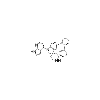 c1ccc(-c2ccccc2-c2ccc3c(c2)C2(CCNCC2)CN3c2ncnc3[nH]ccc23)cc1